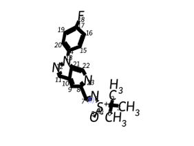 CC(C)(C)[S@@+]([O-])/N=C/c1cc2cnn(-c3ccc(F)cc3)c2cn1